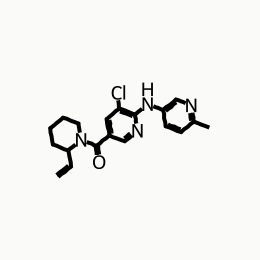 C=CC1CCCCN1C(=O)c1cnc(Nc2ccc(C)nc2)c(Cl)c1